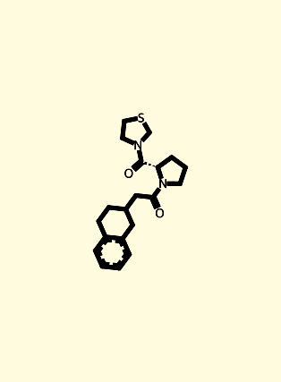 O=C([C@@H]1CCCN1C(=O)CC1CCc2ccccc2C1)N1CCSC1